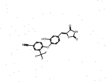 N#Cc1ccc(Oc2ccc(/C=C3\SC(=O)NC3=O)cc2O)c(C(F)(F)F)c1